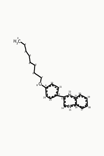 CCCCCCCCOc1ccc(-c2cnc3ccccc3n2)cc1